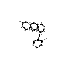 c1cncc(-c2cccc3cc4ccccc4cc23)c1